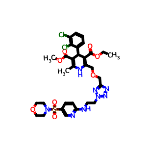 CCOC(=O)C1=C(COCc2nnn(CCNc3ccc(S(=O)(=O)N4CCOCC4)cn3)n2)NC(C)=C(C(=O)OC)C1c1cccc(Cl)c1Cl